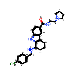 O=C(NCCN1CCCC1)c1ccc2[nH]c3c(c2c1)CCCC3NCc1ccc(Cl)cc1